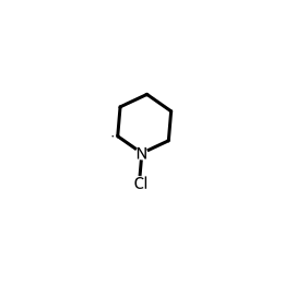 ClN1[CH]CCCC1